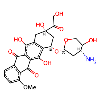 COc1cccc2c1C(=O)c1c(O)c3c(c(O)c1C2=O)C[C@@](O)(C(=O)CO)C[C@@H]3O[C@H]1C[C@@H](N)C(O)CO1